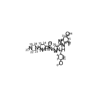 COc1ccc(Cn2nc(NC(=O)c3ccc(N4CCN(C)CC4)nc3)cc2-c2nc3cc(OC)cc(F)c3[nH]2)cc1